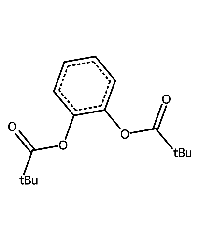 CC(C)(C)C(=O)Oc1ccccc1OC(=O)C(C)(C)C